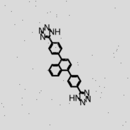 c1ccc2c(-c3ccc(-c4nnn[nH]4)cc3)ccc(-c3ccc(-c4nnn[nH]4)cc3)c2c1